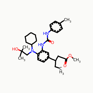 CCC(CC(=O)OC)c1ccc(N(CC(C)(C)O)C2CCCCC2)c(NC(=O)Nc2ccc(C)cc2)c1